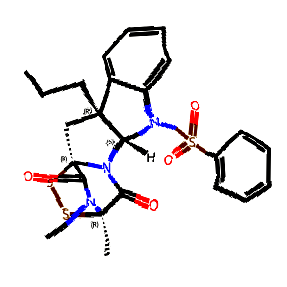 CCC[C@]12C[C@]34SS[C@](C)(C(=O)N3[C@H]1N(S(=O)(=O)c1ccccc1)c1ccccc12)N(C)C4=O